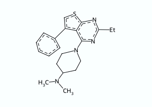 CCc1nc(N2CCC(N(C)C)CC2)c2c(-c3ccccc3)csc2n1